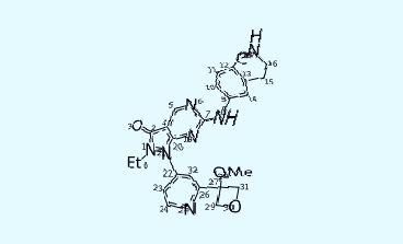 CCn1c(=O)c2cnc(Nc3ccc4c(c3)CCNC4)nc2n1-c1ccnc(C2(OC)COC2)c1